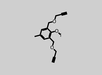 C#CCOCc1cc(C)cc(COCC#C)c1OI